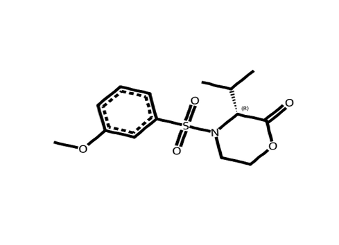 COc1cccc(S(=O)(=O)N2CCOC(=O)[C@H]2C(C)C)c1